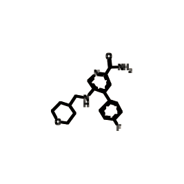 NC(=O)c1cc(-c2ccc(F)cc2)c(NCC2CCOCC2)cn1